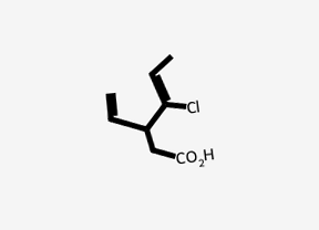 C=CC(CC(=O)O)C(Cl)=CC